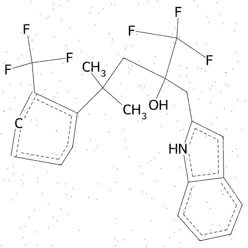 CC(C)(CC(O)(Cc1cc2ccccc2[nH]1)C(F)(F)F)c1ccccc1C(F)(F)F